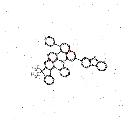 CC1(C)c2ccccc2-c2c(-c3ccccc3N(c3cccc(-c4ccc5c(c4)sc4ccccc45)c3)c3ccccc3-c3ccccc3-c3ccccc3)cccc21